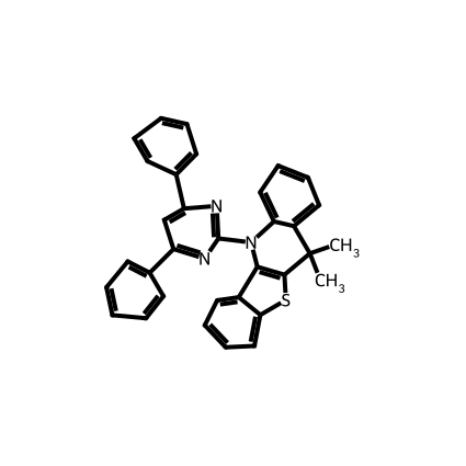 CC1(C)c2ccccc2N(c2nc(-c3ccccc3)cc(-c3ccccc3)n2)c2c1sc1ccccc21